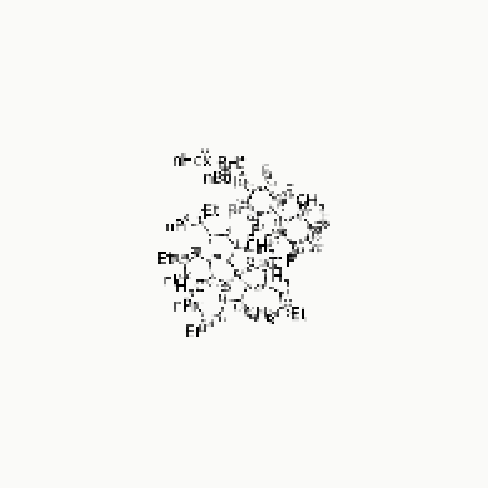 CCCC(CC)CCC(C)[CH2][Al-]([CH2]C(C)CCC(CC)CCC)([CH2]C(C)CCC(CC)CCC)[CH2]C(C)CCC(CC)CCC.CCCCCC[PH2+]CCCC.Cc1c(F)c(F)c(F)c(C(F)(F)F)c1-c1c(F)c(F)c(F)c(F)c1F